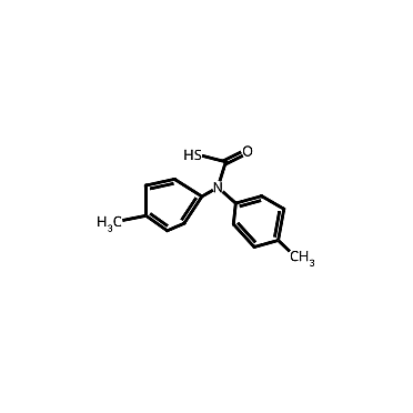 Cc1ccc(N(C(=O)S)c2ccc(C)cc2)cc1